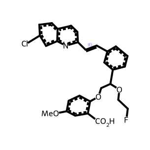 COc1ccc(OCC(OCCF)c2cccc(/C=C/c3ccc4ccc(Cl)cc4n3)c2)c(C(=O)O)c1